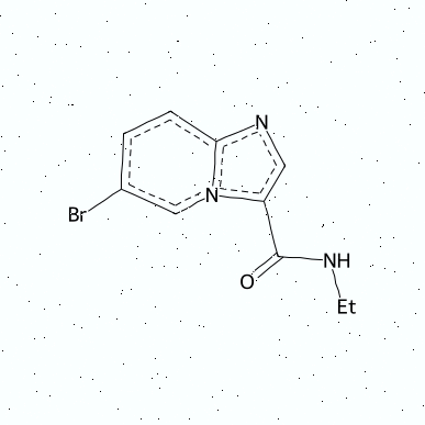 CCNC(=O)c1cnc2ccc(Br)cn12